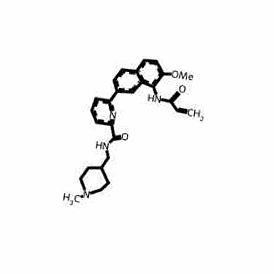 C=CC(=O)Nc1c(OC)ccc2ccc(-c3cccc(C(=O)NCC4CCN(C)CC4)n3)cc12